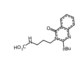 CCCCc1nc2ccccc2c(=O)n1CCCNC(=O)O